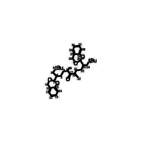 CC(CCC(CC(C)(C)C)C1OCc2ccccc2O1)C(=O)C(C)CCC(CC(C)(C)C)C1OCc2ccccc2O1